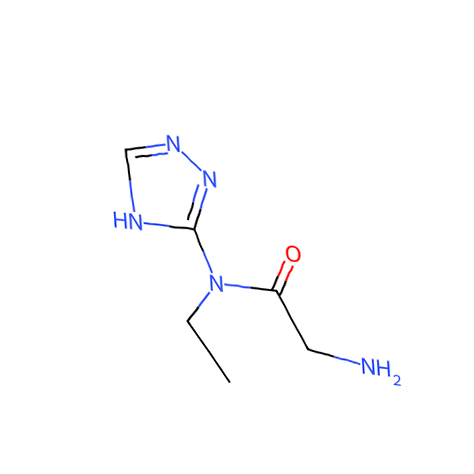 CCN(C(=O)CN)c1nnc[nH]1